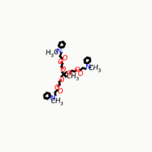 CCC(COCCOC(=O)CCN(C)c1ccccc1)(COCCOC(=O)CCN(C)c1ccccc1)COCCOC(=O)CCN(C)c1ccccc1